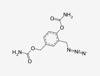 [N-]=[N+]=NCc1cc(COC(N)=O)ccc1OC(N)=O